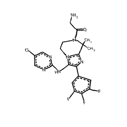 CC1(C)c2nc(-c3cc(F)c(F)c(F)c3)c(Nc3ncc(Cl)cn3)n2CCN1C(=O)CN